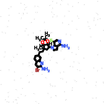 CC1(C)O[C@H]2[C@H](n3ccc4c(N)ncc(F)c43)C[C@](C)(CCc3ccc4cc(Br)c(N)nc4c3)[C@H]2O1